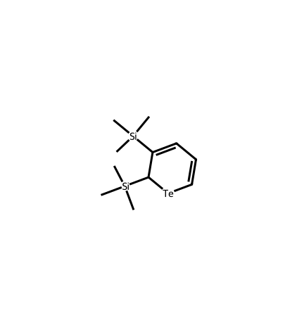 C[Si](C)(C)C1=CC=C[Te]C1[Si](C)(C)C